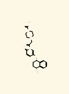 CC(C)(C)OC(=O)N1CCN(Cc2nnc3ccc(O[C@@H]4CC[C@H](N)c5ccccc54)cn23)CC1